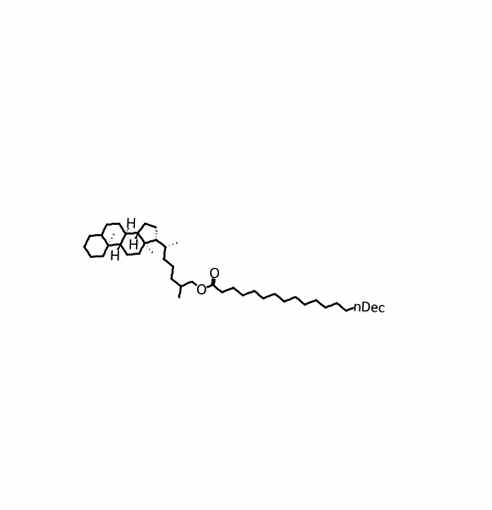 CCCCCCCCCCCCCCCCCCCCCCCC(=O)OCC(C)CCC[C@@H](C)[C@H]1CC[C@H]2[C@@H]3CCC4CCCC[C@]4(C)[C@H]3CC[C@]12C